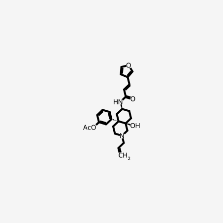 C=CCN1CC[C@@]2(c3cccc(OC(C)=O)c3)C[C@@H](NC(=O)/C=C/c3ccoc3)CC[C@]2(O)C1